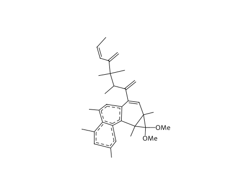 C=C(C1=CC2(C)C(OC)(OC)C2(C)c2c1cc(C)c1c(C)cc(C)cc21)C(C)C(C)(C)C(=C)/C=C\C